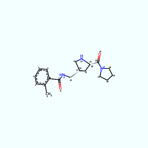 Cc1ccccc1C(=O)NC[C@@H]1CN[C@H](C(=O)N2CCCC2)C1